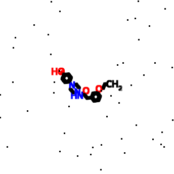 C=CCOc1cccc(CC(=O)NN2CCN(c3ccc(O)cc3)CC2)c1